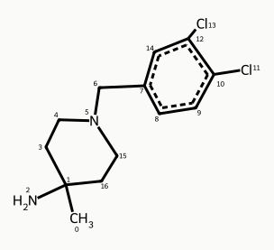 CC1(N)CCN(Cc2ccc(Cl)c(Cl)c2)CC1